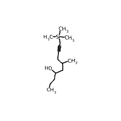 CCCC(O)CC(C)CC#C[Si](C)(C)C